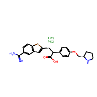 Cl.Cl.N=C(N)c1ccc2sc(CC(C(=O)O)c3ccc(OC[C@@H]4CCCN4)cc3)cc2c1